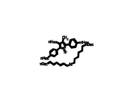 CCCCCCC1=C(c2ccc(CCCCCC)cc2)[N+](=[N-])C(c2ccc(CCCCCC)cc2)=C1C.CCCCCCCCCCCCCCC[CH2][Ni][CH2]CCCCCCCCCCCCCCC